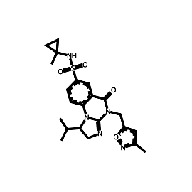 Cc1cc(CN2C(=O)c3cc(S(=O)(=O)NC4(C)CC4)ccc3N3C2=NCC3C(C)C)on1